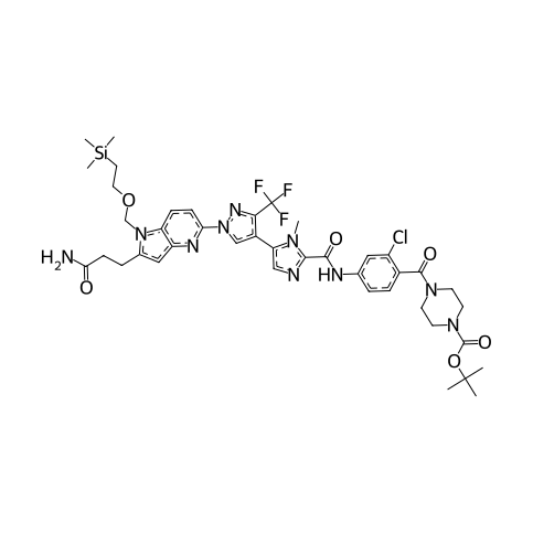 Cn1c(-c2cn(-c3ccc4c(cc(CCC(N)=O)n4COCC[Si](C)(C)C)n3)nc2C(F)(F)F)cnc1C(=O)Nc1ccc(C(=O)N2CCN(C(=O)OC(C)(C)C)CC2)c(Cl)c1